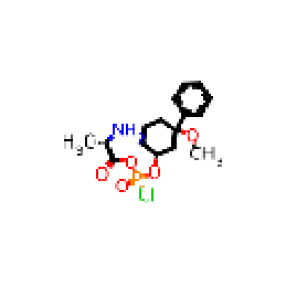 COC1(c2ccccc2)CCCC(OP(=O)(Cl)OC(=O)[C@H](C)N)C1